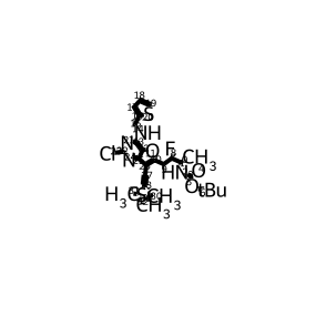 C[C@@H](NC(=O)OC(C)(C)C)[C@@H](F)Cc1oc2c(NCc3cccs3)nc(Cl)nc2c1C#C[Si](C)(C)C